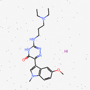 CCN(CC)CCCNc1nnc(-c2cn(C)c3ccc(OC)cc23)c(=O)[nH]1.I